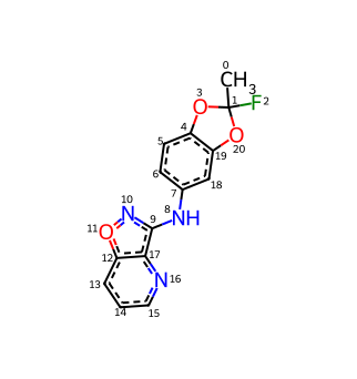 CC1(F)Oc2ccc(Nc3noc4cccnc34)cc2O1